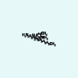 CCC(C)=C(N)N.CCCCCCCCCCCCCCN